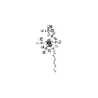 CCCCCCOP(=O)(OP(=O)(O)OP(=O)(O)O)OP(=O)(O)OP(=O)(O)OP(=O)(O)O